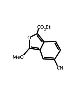 CCOC(=O)c1oc(OC)c2cc(C#N)ccc12